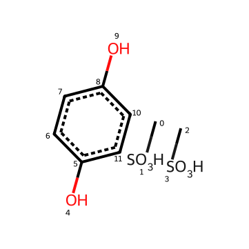 CS(=O)(=O)O.CS(=O)(=O)O.Oc1ccc(O)cc1